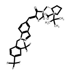 CC(C)(C)[N+]1(C(=O)[O-])CCC[C@H]1CN1C(=O)SC(=Cc2ccc3c(cnn3Cc3ccc(C(F)(F)F)cc3C(F)(F)F)c2)C1=O